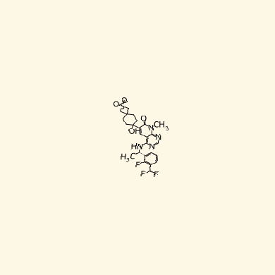 C[C@@H](Nc1ncnc2c1cc(C1(O)CCC3(CC1)CS(=O)(=O)C3)c(=O)n2C)c1cccc(C(F)F)c1F